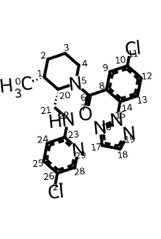 C[C@@H]1CCCN(C(=O)c2cc(Cl)ccc2-n2nccn2)[C@@H]1CNc1ccc(Cl)cn1